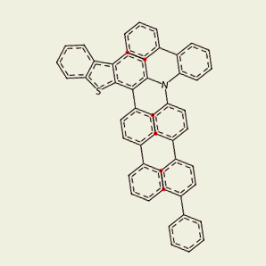 c1ccc(-c2ccc(-c3ccc(N(c4ccccc4-c4ccccc4)c4ccc5c(sc6ccccc65)c4-c4ccc(-c5ccccc5)cc4)cc3)cc2)cc1